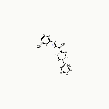 O=C(/C=C/c1cc[c]c(Cl)c1)N1CCN(c2ccccn2)CC1